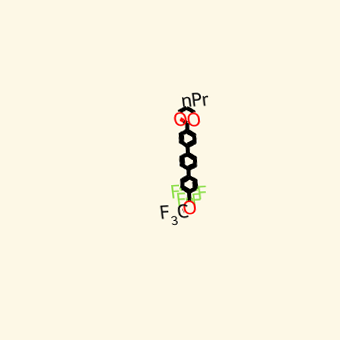 CCCC1COC(c2ccc(-c3ccc(-c4cc(F)c(C(F)(F)OC(F)(F)F)c(F)c4)cc3)cc2)OC1